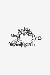 C=C1C[C@@H](OC(=O)c2ccccc2)CC[C@@]23CC4O[C@H]5[C@@H](O2)[C@H]2O[C@H](CC[C@@H]2O[C@H]5[C@H]4O3)CC(=O)C[C@H]2C(C[C@H]3O[C@@H](CC[C@H]1O)C[C@@H](C)C3=C)OC(C[C@@H](CO[Si](C)(C)C(C)(C)C)O[Si](C)(C)C(C)(C)C)[C@@H]2OC